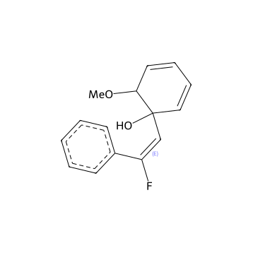 COC1C=CC=CC1(O)/C=C(/F)c1ccccc1